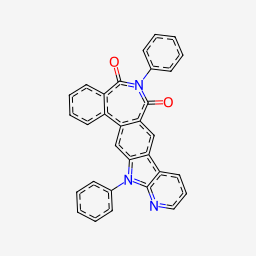 O=c1c2ccccc2c2cc3c(cc2c(=O)n1-c1ccccc1)c1cccnc1n3-c1ccccc1